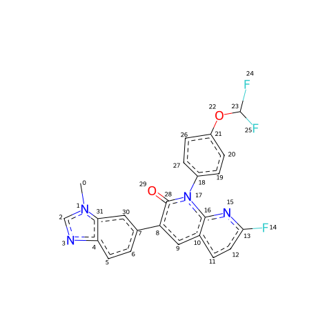 Cn1cnc2ccc(-c3cc4ccc(F)nc4n(-c4ccc(OC(F)F)cc4)c3=O)cc21